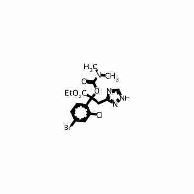 CCOC(=O)C(Cc1nc[nH]n1)(OC(=O)N(C)C)c1ccc(Br)cc1Cl